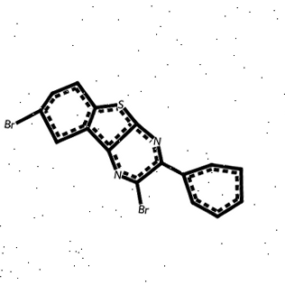 Brc1ccc2sc3nc(-c4ccccc4)c(Br)nc3c2c1